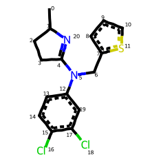 CC1CCC(N(Cc2cccs2)c2ccc(Cl)c(Cl)c2)=N1